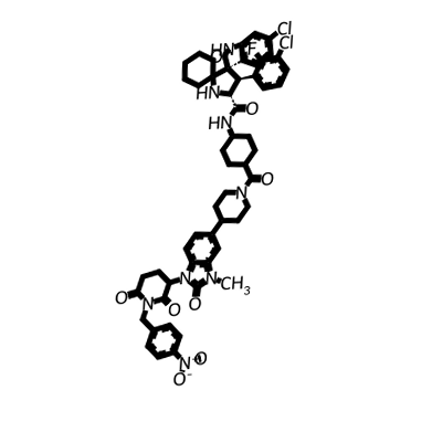 Cn1c(=O)n(C2CCC(=O)N(Cc3ccc([N+](=O)[O-])cc3)C2=O)c2ccc(C3CCN(C(=O)C4CCC(NC(=O)[C@@H]5NC6(CCCCC6)[C@@]6(C(=O)Nc7cc(Cl)ccc76)[C@H]5c5cccc(Cl)c5F)CC4)CC3)cc21